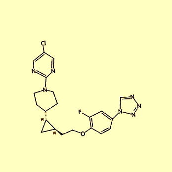 Fc1cc(-n2cnnn2)ccc1OCC[C@H]1C[C@@H]1C1CCN(c2ncc(Cl)cn2)CC1